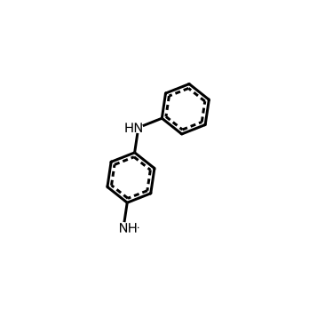 [NH]c1ccc(Nc2ccccc2)cc1